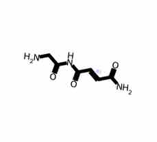 NCC(=O)NC(=O)/C=C/C(N)=O